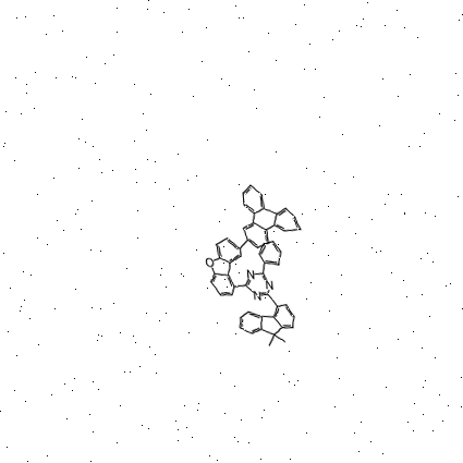 CC1(C)c2ccccc2-c2c(-c3nc(-c4ccccc4)nc(-c4cccc5oc6ccc(-c7ccc8c9ccccc9c9ccccc9c8c7)cc6c45)n3)cccc21